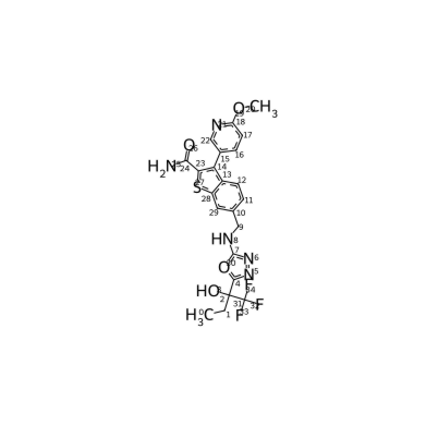 CCC(O)(c1nnc(NCc2ccc3c(-c4ccc(OC)nc4)c(C(N)=O)sc3c2)o1)C(F)(F)F